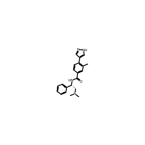 Cc1cc(C(=O)N[C@H](CN(C)C)c2ccccc2)ccc1-c1cn[nH]c1